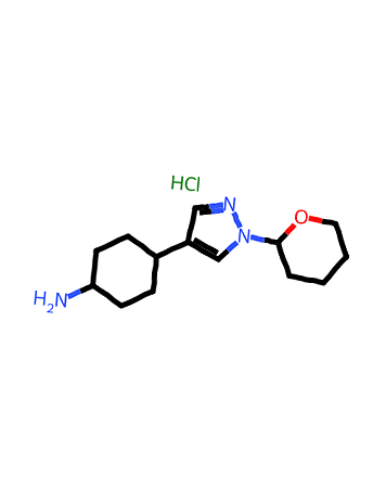 Cl.NC1CCC(c2cnn(C3CCCCO3)c2)CC1